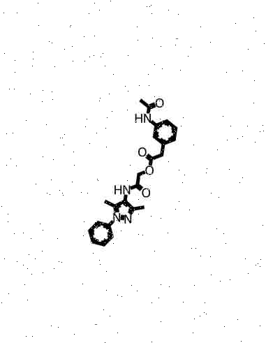 CC(=O)Nc1cccc(CC(=O)OCC(=O)Nc2c(C)nn(-c3ccccc3)c2C)c1